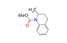 COC(=O)N1c2ccccc2CCC1C